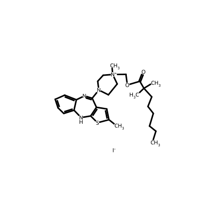 CCCCCCC(C)(C)C(=O)OC[N+]1(C)CCN(C2=Nc3ccccc3Nc3sc(C)cc32)CC1.[I-]